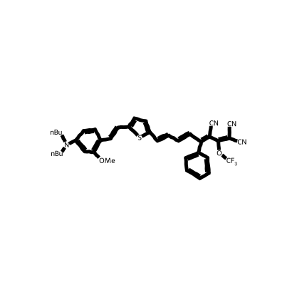 CCCCN(CCCC)c1ccc(/C=C/c2ccc(/C=C/C=C/C(=C(\C#N)C(OC(F)(F)F)=C(C#N)C#N)c3ccccc3)s2)c(OC)c1